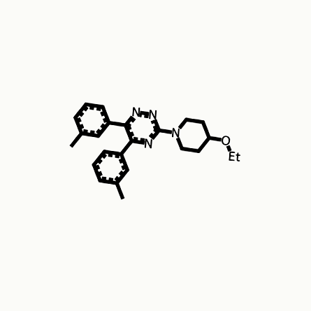 CCOC1CCN(c2nnc(-c3cccc(C)c3)c(-c3cccc(C)c3)n2)CC1